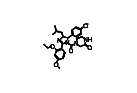 CCOc1cc(OC)ccc1C1=NC(CC(C)C)C(c2ccc(Cl)cc2)N1C(=O)N1CCNC(=O)C1